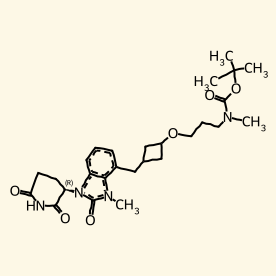 CN(CCCOC1CC(Cc2cccc3c2n(C)c(=O)n3[C@@H]2CCC(=O)NC2=O)C1)C(=O)OC(C)(C)C